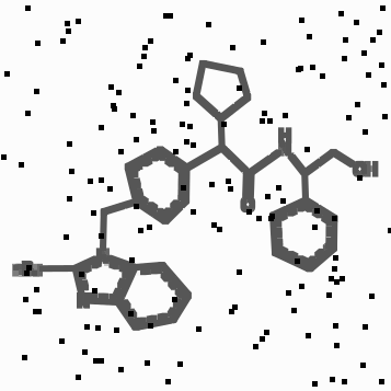 CCCCc1nc2ccccc2n1Cc1ccc(C(C(=O)NC(CO)c2ccccc2)C2CCCC2)cc1